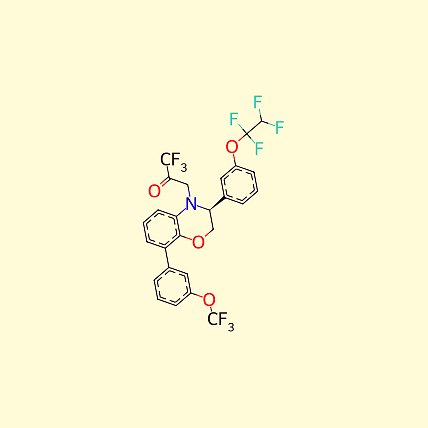 O=C(CN1c2cccc(-c3cccc(OC(F)(F)F)c3)c2OC[C@@H]1c1cccc(OC(F)(F)C(F)F)c1)C(F)(F)F